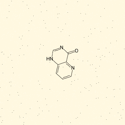 O=c1nc[nH]c2cccnc12